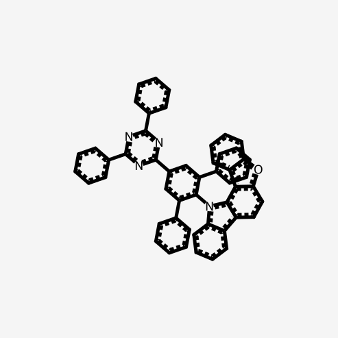 c1ccc(-c2nc(-c3ccccc3)nc(-c3cc(-c4ccccc4)c(-n4c5ccccc5c5ccc6oc7ccccc7c6c54)c(-c4ccccc4)c3)n2)cc1